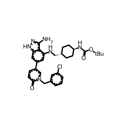 CC(C)(C)OC(=O)N[C@H]1CC[C@H](CNc2cc(-c3ccc(=O)n(Cc4cccc(Cl)c4)c3)cc3[nH]nc(N)c23)CC1